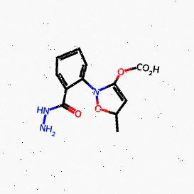 CC1C=C(OC(=O)O)N(c2ccccc2C(=O)NN)O1